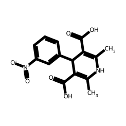 CC1=C(C(=O)O)C(c2cccc([N+](=O)[O-])c2)C(C(=O)O)=C(C)N1